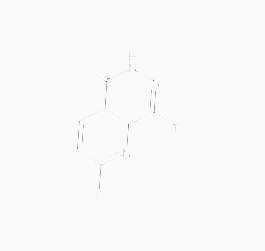 CCc1ccc2c(=O)[nH]nc(CC)c2n1